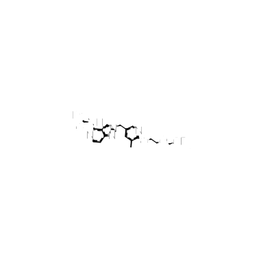 Cc1cc(Cn2cc3c(NC(=O)C(C)C)nccc3n2)cnc1OCCOCC(F)(F)F